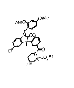 CCOC(=O)[C@H]1C[C@H](C)CCN1C(=O)c1ccc(Cl)c(C2(C)C(=O)N(Cc3ccc(OC)cc3OC)c3ccc(Cl)cc32)c1